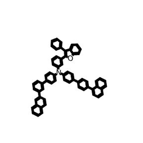 c1ccc(-c2c(-c3cccc(N(c4ccc(-c5ccc(-c6cccc7ccccc67)cc5)cc4)c4ccc(-c5cccc(-c6ccc7ccccc7c6)c5)cc4)c3)oc3ccccc23)cc1